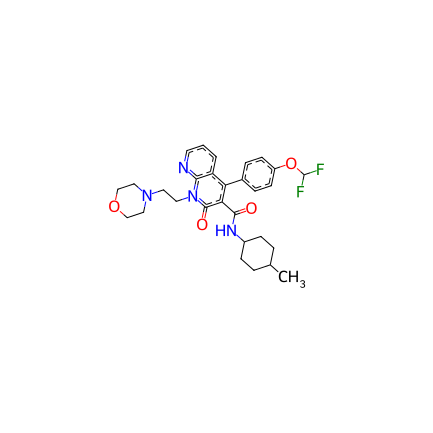 CC1CCC(NC(=O)c2c(-c3ccc(OC(F)F)cc3)c3cccnc3n(CCN3CCOCC3)c2=O)CC1